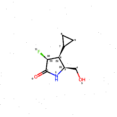 O=C1N[C@H](CO)[C@H](C2CC2)[C@@H]1F